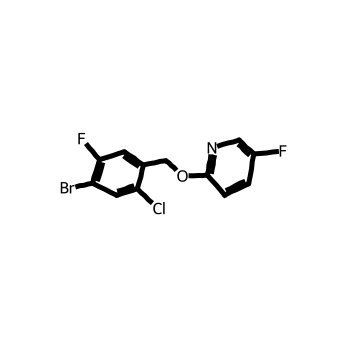 Fc1ccc(OCc2cc(F)c(Br)cc2Cl)nc1